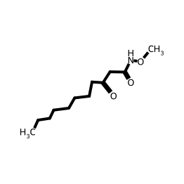 CCCCCCCCC(=O)CC(=O)NOC